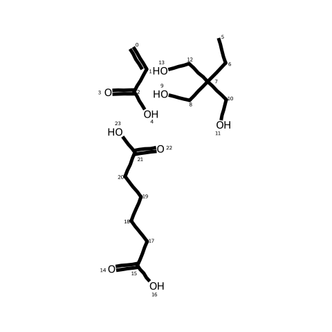 C=CC(=O)O.CCC(CO)(CO)CO.O=C(O)CCCCC(=O)O